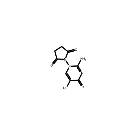 Cc1cn(N2C(=O)CCC2=O)c(N)nc1=O